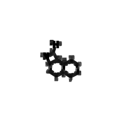 [2H]C1=Nc2ccc3ccccc3c21